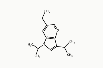 CCc1cnc2c(C(C)C)cn(C(C)C)c2c1